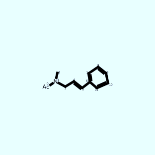 CC(=O)N(C)CC=Cc1ccccc1